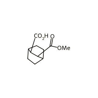 COC(=O)C1C2CCC(CC2)C1C(=O)O